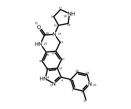 Cc1cc(-c2n[nH]c3cc4c(cc23)CN(C2CCNC2)C(=O)N4)ccn1